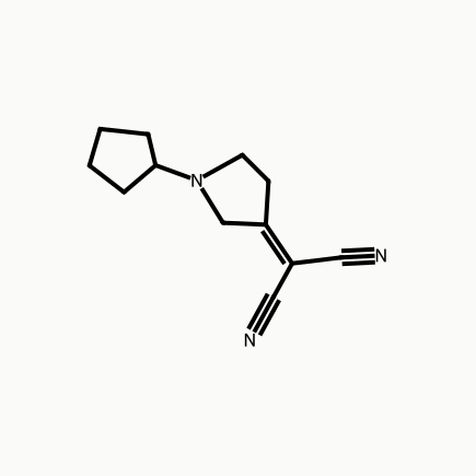 N#CC(C#N)=C1CCN(C2CCCC2)C1